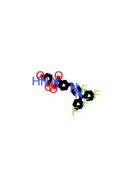 O=C1CCC(N2C(=O)c3ccc(CN4CCN(C(c5ccc(F)cc5F)c5ccc(F)cc5F)CC4)cc3C2=O)C(=O)N1